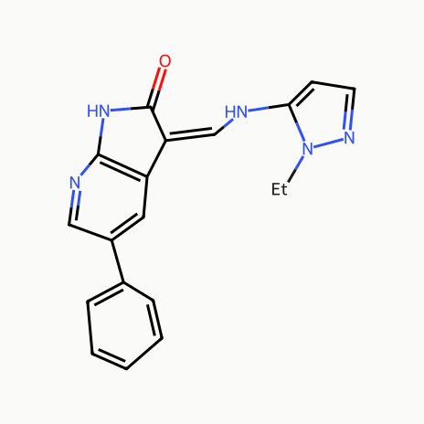 CCn1nccc1NC=C1C(=O)Nc2ncc(-c3ccccc3)cc21